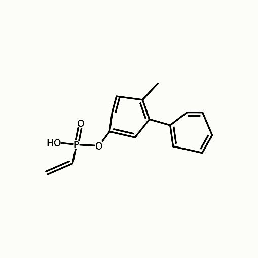 C=CP(=O)(O)Oc1ccc(C)c(-c2ccccc2)c1